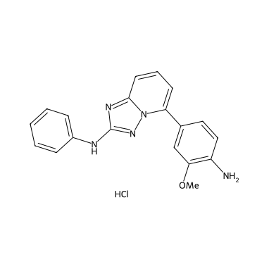 COc1cc(-c2cccc3nc(Nc4ccccc4)nn23)ccc1N.Cl